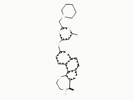 C[C@@H]1CNc2c(sc3ccc4nc(Nc5cc(F)nc(CN6CCCCC6)n5)ccc4c23)C(=O)N1